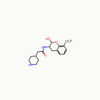 O=C(CC1CCNCC1)NC1Cc2cccc(C(=O)O)c2OB1O